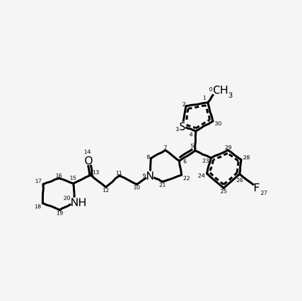 Cc1csc(C(=C2CCN(CCCC(=O)C3CCCCN3)CC2)c2ccc(F)cc2)c1